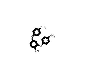 N#Cc1ccc(Oc2ccc(N)cc2)cc1Oc1ccc(N)cc1